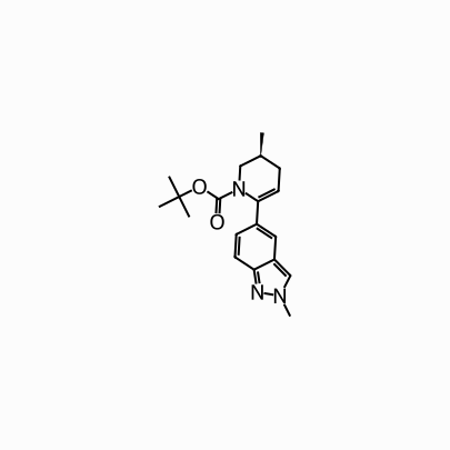 C[C@H]1CC=C(c2ccc3nn(C)cc3c2)N(C(=O)OC(C)(C)C)C1